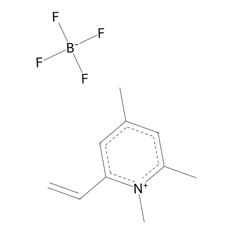 C=Cc1cc(C)cc(C)[n+]1C.F[B-](F)(F)F